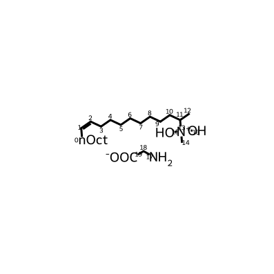 CCCCCCCC/C=C\CCCCCCCCC(C)[N+](C)(O)O.NCC(=O)[O-]